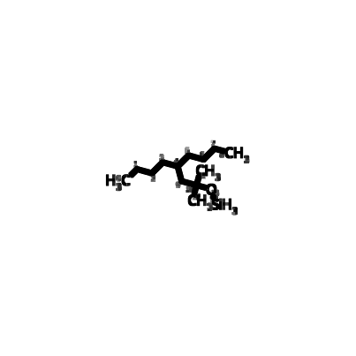 CCCCC(CCCC)CC(C)(C)O[SiH3]